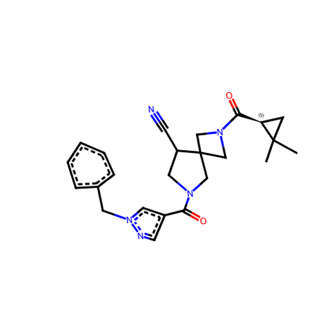 CC1(C)C[C@@H]1C(=O)N1CC2(CN(C(=O)c3cnn(Cc4ccccc4)c3)CC2C#N)C1